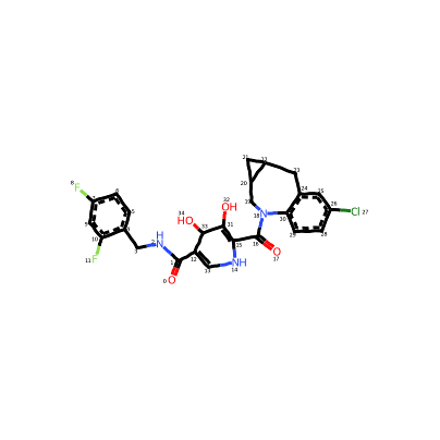 O=C(NCc1ccc(F)cc1F)C1=CNC(C(=O)N2CC3CC3Cc3cc(Cl)ccc32)=C(O)C1O